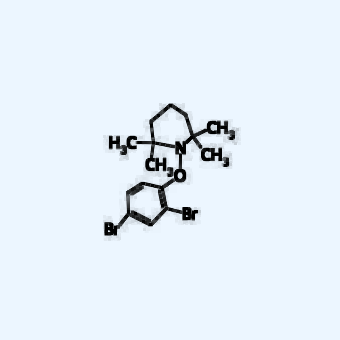 CC1(C)CCCC(C)(C)N1Oc1ccc(Br)cc1Br